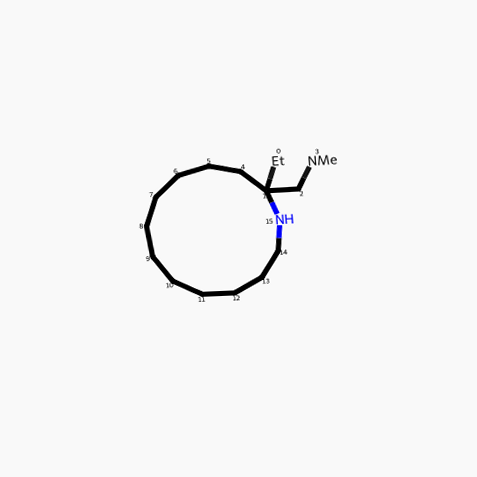 CCC1(CNC)CCCCCCCCCCCN1